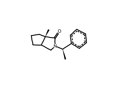 C[C@H](c1ccccc1)N1CC2CCC[C@]2(C)C1=O